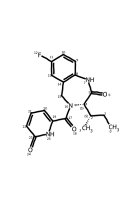 CC[C@H](C)[C@H]1C(=O)Nc2ccc(F)cc2CN1C(=O)c1cccc(=O)[nH]1